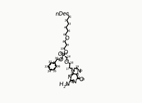 CCCCCCCCCCCCCCCCOCCCOP(=O)(COCCN1C=NC2C(=O)N=C(N)N=C21)OCc1ccccc1